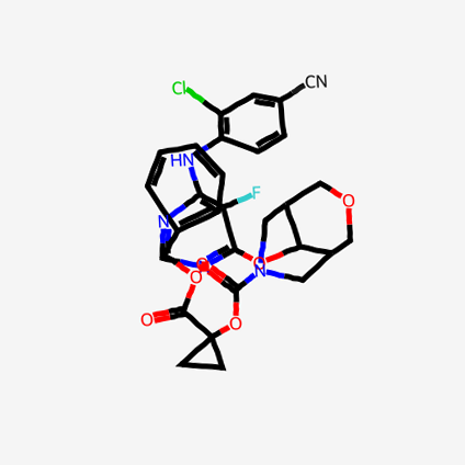 N#Cc1ccc(Nc2ncnc(OC3C4COCC3CN(C(=O)OC3(C(=O)OCc5ccccc5)CC3)C4)c2F)c(Cl)c1